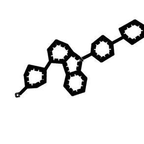 Clc1ccc(-c2cccc3c2c2ccccc2n3-c2ccc(-c3ccccc3)cc2)cc1